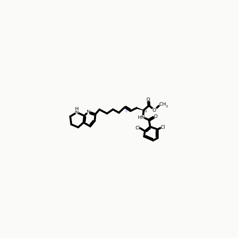 COC(=O)[C@H](C/C=C/CCCCc1ccc2c(n1)NCCC2)NC(=O)c1c(Cl)cccc1Cl